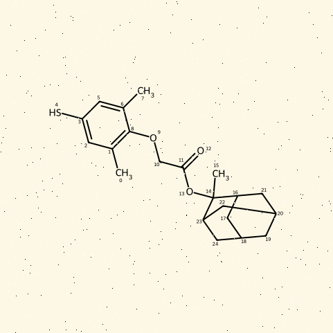 Cc1cc(S)cc(C)c1OCC(=O)OC1(C)C2CC3CC(C2)CC1C3